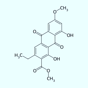 CCc1cc2c(c(O)c1C(=O)OC)C(=O)c1c(O)cc(OC)cc1C2=O